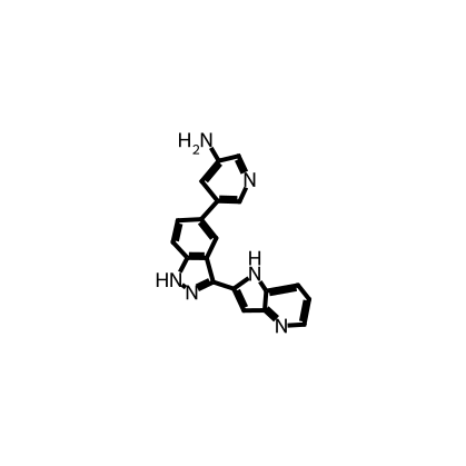 Nc1cncc(-c2ccc3[nH]nc(-c4cc5ncccc5[nH]4)c3c2)c1